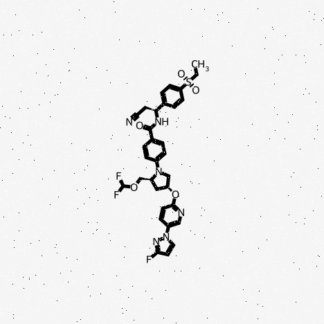 CCS(=O)(=O)c1ccc([C@H](CC#N)NC(=O)c2ccc(N3C[C@@H](Oc4ccc(-n5ccc(F)n5)cn4)C[C@H]3COC(F)F)cc2)cc1